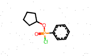 O=P(Cl)(OC1CCCC1)c1ccccc1